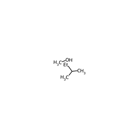 CCC(C)C.CO